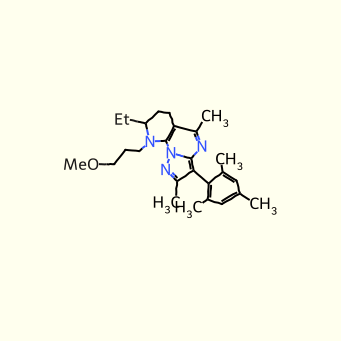 CCC1CCc2c(C)nc3c(-c4c(C)cc(C)cc4C)c(C)nn3c2N1CCCOC